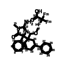 COCC1(C2(c3ccccc3)N=C(N)N(C)C2=O)C=CC=C(c2ccccc2)C1.O=C(O)C(F)(F)F